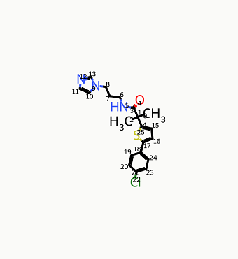 CC(C)(C(=O)NCCCn1ccnc1)c1ccc(-c2ccc(Cl)cc2)s1